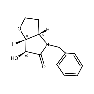 O=C1[C@@H](O)[C@@H]2OCC[C@@H]2N1Cc1ccccc1